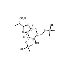 CN(C(=O)O)C1=N[C@@H]2[C@@H](O[Si](C)(C)C(C)(C)C)[C@H](O)[C@@H](CO[Si](C)(C)C(C)(C)C)O[C@@H]2S1